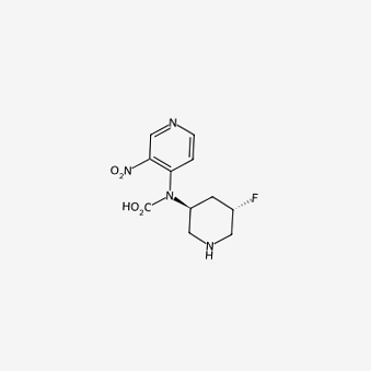 O=C(O)N(c1ccncc1[N+](=O)[O-])[C@@H]1CNC[C@@H](F)C1